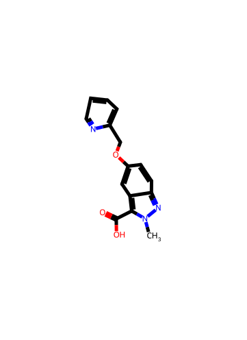 Cn1nc2ccc(OCc3ccccn3)cc2c1C(=O)O